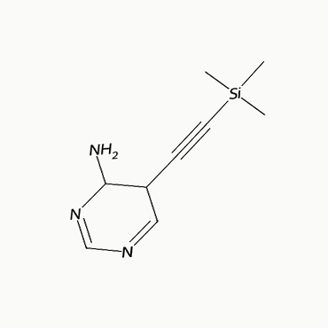 C[Si](C)(C)C#CC1C=NC=NC1N